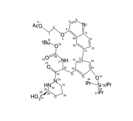 CC(=O)OCCOc1ccnc2ccc(-c3cc(CC(NC(=O)OC(C)(C)C)C(=O)N4CCC[C@@H](C(=O)O)N4)cc(O[Si](C(C)C)(C(C)C)C(C)C)c3)cc12